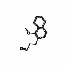 COc1c(CCC=O)ccc2ccccc12